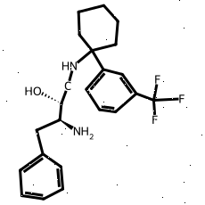 N[C@@H](Cc1ccccc1)[C@H](O)CNC1(c2cccc(C(F)(F)F)c2)CCCCC1